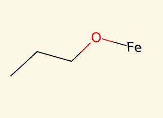 CCC[O][Fe]